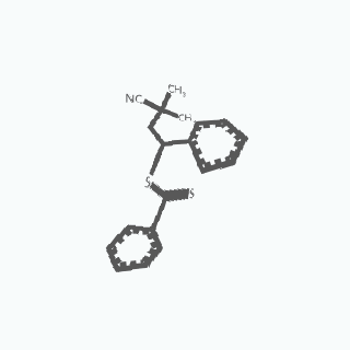 CC(C)(C#N)CC(SC(=S)c1ccccc1)c1ccccc1